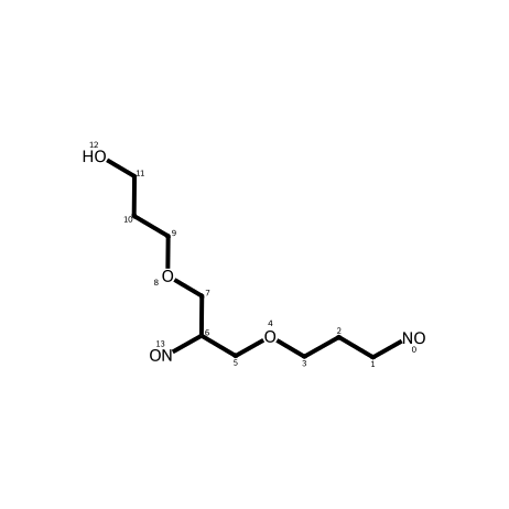 O=NCCCOCC(COCCCO)N=O